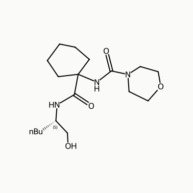 CCCC[C@@H](CO)NC(=O)C1(NC(=O)N2CCOCC2)CCCCC1